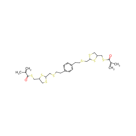 C=C(C)C(=O)SCC1CSC(CSCCc2ccc(CCSCC3SCC(CSC(=O)C(=C)C)S3)cc2)S1